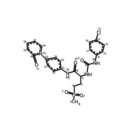 CS(=O)(=O)CCC(NC(=O)Nc1ccc(Cl)cc1)C(=O)Nc1ccc(-n2ccccc2=O)cc1